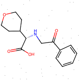 O=C(CN[C@H](C(=O)O)C1CCOCC1)c1ccccc1